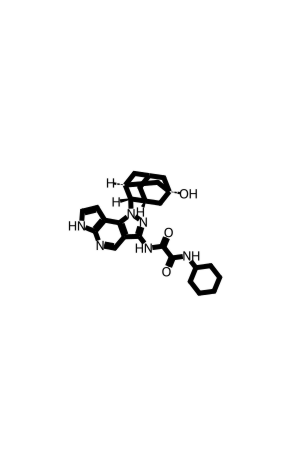 O=C(Nc1nn([C@H]2[C@@H]3CC4C[C@H]2C[C@@](O)(C4)C3)c2c1cnc1[nH]ccc12)C(=O)NC1CCCCC1